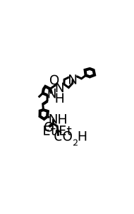 CCC(CC)(CC(=O)Nc1cccc(C=Cc2nc(C(=O)NC3CCN(CCc4ccccc4)CC3)ccc2C)c1)C(=O)O